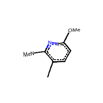 CNc1nc(OC)ccc1C